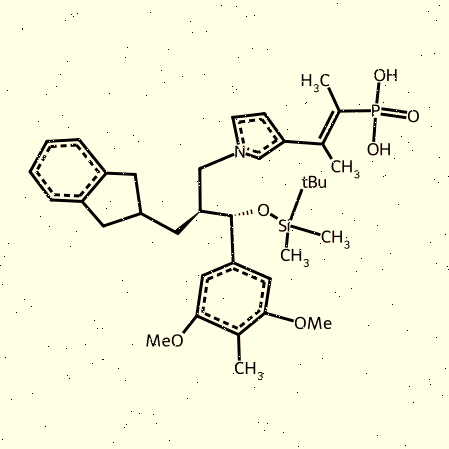 COc1cc([C@@H](O[Si](C)(C)C(C)(C)C)[C@@H](CC2Cc3ccccc3C2)Cn2ccc(C(C)=C(C)P(=O)(O)O)c2)cc(OC)c1C